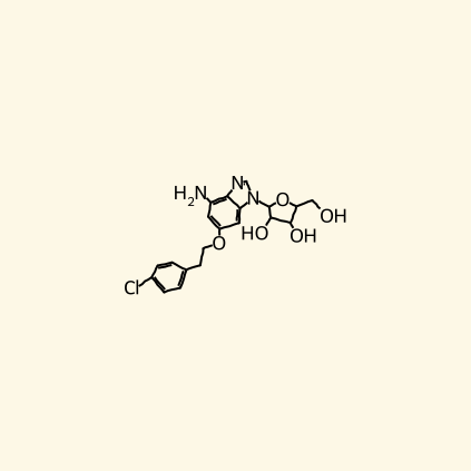 Nc1cc(OCCc2ccc(Cl)cc2)cc2c1ncn2C1OC(CO)C(O)C1O